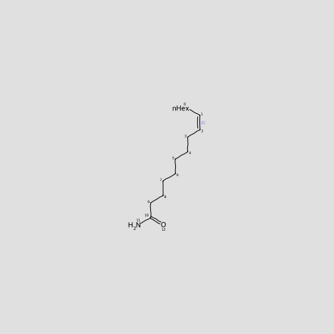 CCCCCC/C=C\CCCCCCCC(N)=O